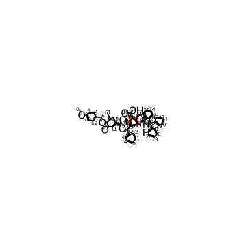 COc1ccc(COC2C(=O)C=C(C(O/N=C(\C(=O)O)c3csc(NC(c4ccccc4)(c4ccccc4)c4ccccc4)n3)OC(c3ccccc3)c3ccccc3)N=C2C)cc1